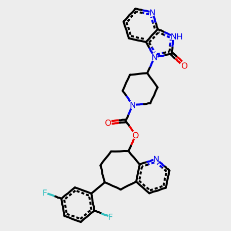 O=C(OC1CCC(c2cc(F)ccc2F)Cc2cccnc21)N1CCC(n2c(=O)[nH]c3ncccc32)CC1